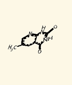 Cc1cnc2[nH]c(=O)[nH]c(=O)c2c1